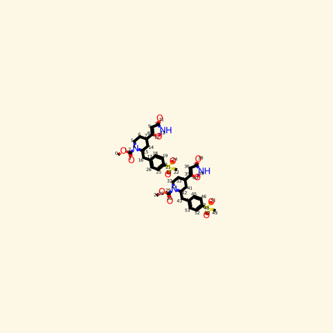 COC(=O)N1CCC(c2cc(=O)[nH]o2)CC1Cc1ccc(S(C)(=O)=O)cc1.COC(=O)N1CCC(c2cc(=O)[nH]o2)CC1Cc1ccc(S(C)(=O)=O)cc1